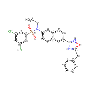 O=C(O)CN(c1ccc2cc(-c3noc(Cc4ccccc4)n3)ccc2c1)S(=O)(=O)c1cc(Cl)cc(Cl)c1